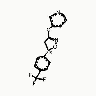 FC(F)(F)c1ccc([C@H]2CC(Oc3cccnc3)=NO2)cc1